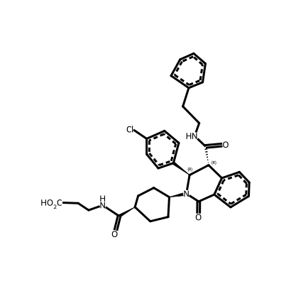 O=C(O)CCNC(=O)[C@H]1CC[C@@H](N2C(=O)c3ccccc3[C@@H](C(=O)NCCc3ccccc3)[C@@H]2c2ccc(Cl)cc2)CC1